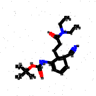 CCN(CC)C(=O)CCc1c(C#N)cccc1NC(=O)OC(C)(C)C